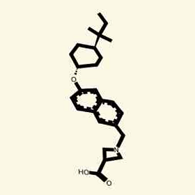 CCC(C)(C)[C@H]1CC[C@H](Oc2ccc3cc(CN4CC(C(=O)O)C4)ccc3c2)CC1